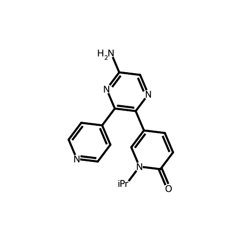 CC(C)n1cc(-c2ncc(N)nc2-c2ccncc2)ccc1=O